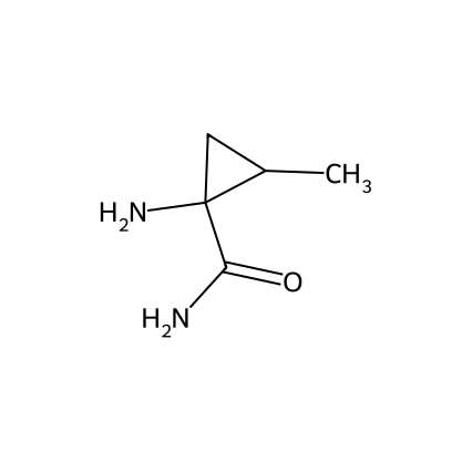 CC1CC1(N)C(N)=O